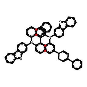 C1=CC(c2cccc(N(c3ccc4c(c3)sc3ccccc34)c3ccccc3-c3ccccc3N(c3ccc4c(c3)sc3ccccc34)c3cccc4c3sc3ccccc34)c2)CC=C1c1ccccc1